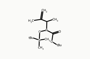 C=C(C)C(C)N(O[Si](C)(C)C(C)(C)C)C(=O)OC(C)(C)C